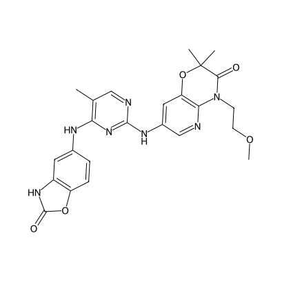 COCCN1C(=O)C(C)(C)Oc2cc(Nc3ncc(C)c(Nc4ccc5oc(=O)[nH]c5c4)n3)cnc21